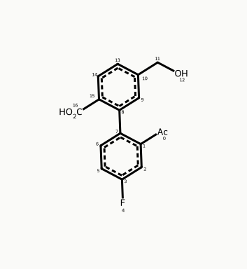 CC(=O)c1cc(F)ccc1-c1cc(CO)ccc1C(=O)O